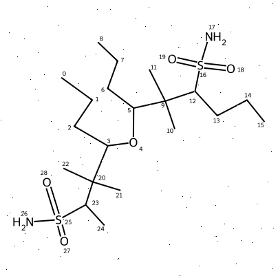 CCCC(OC(CCC)C(C)(C)C(CCC)S(N)(=O)=O)C(C)(C)C(C)S(N)(=O)=O